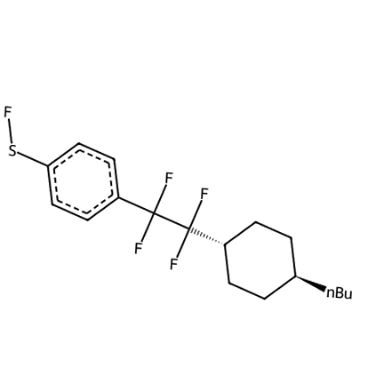 CCCC[C@H]1CC[C@H](C(F)(F)C(F)(F)c2ccc(SF)cc2)CC1